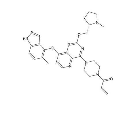 C=CC(=O)N1CCN(c2nc(OC[C@@H]3CCCN3C)nc3c(Oc4c(C)ccc5[nH]ncc45)ccnc23)CC1